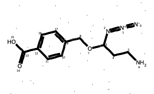 [N-]=[N+]=NC(CCN)OCc1ccc(C(=O)O)cc1